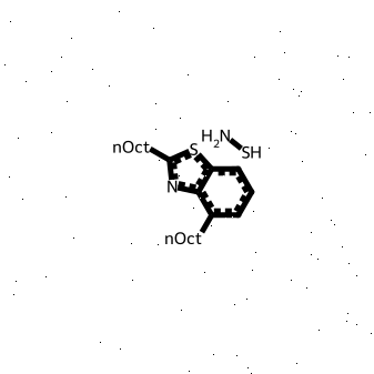 CCCCCCCCc1nc2c(CCCCCCCC)cccc2s1.NS